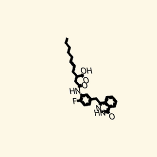 CCCCC/C=C/CC(CC(=O)Nc1cc(Cc2n[nH]c(=O)c3ccccc23)ccc1F)C(=O)O